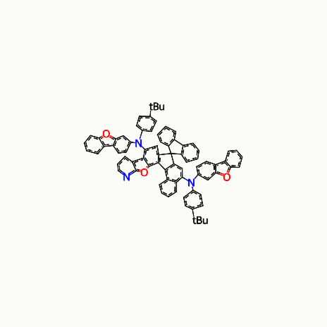 CC(C)(C)c1ccc(N(c2ccc3c(c2)oc2ccccc23)c2cc3c(c4ccccc24)-c2c(cc(N(c4ccc(C(C)(C)C)cc4)c4ccc5c(c4)oc4ccccc45)c4c2oc2ncccc24)C32c3ccccc3-c3ccccc32)cc1